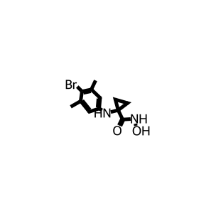 Cc1cc(NC2(C(=O)NO)CC2)cc(C)c1Br